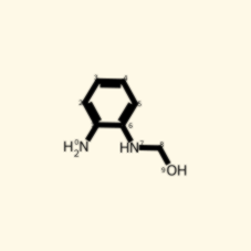 Nc1ccccc1NCO